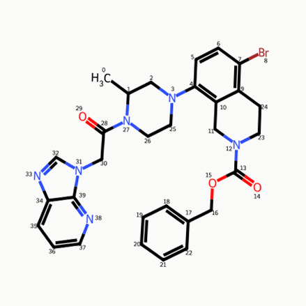 CC1CN(c2ccc(Br)c3c2CN(C(=O)OCc2ccccc2)CC3)CCN1C(=O)Cn1cnc2cccnc21